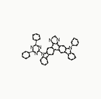 c1ccc(-c2nc(-c3ccccc3)nc(-n3c4ccccc4c4cc5c6cc7c8ccccc8n(-c8ccccc8)c7cc6c6nccnc6c5cc43)n2)cc1